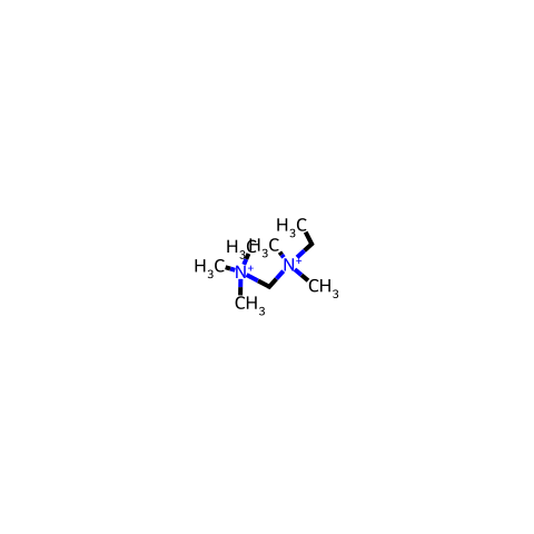 CC[N+](C)(C)C[N+](C)(C)C